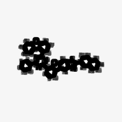 c1ccc(-c2nc(-c3cccc4c3oc3cc5sc(-c6ccc7ccccc7c6)nc5cc34)nc(-c3cccc4oc5ccccc5c34)n2)cc1